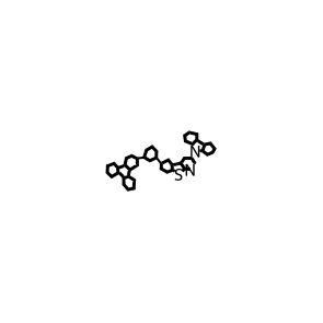 c1cc(-c2ccc3sc4ncc(-n5c6ccccc6c6ccccc65)cc4c3c2)cc(-c2ccc3c4ccccc4c4ccccc4c3c2)c1